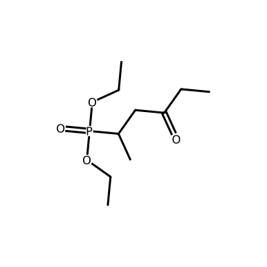 CCOP(=O)(OCC)C(C)CC(=O)CC